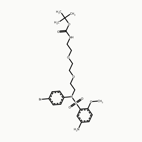 COc1ccc(N)cc1S(=O)(=O)N(CCOCCOCCNC(=O)OC(C)(C)C)c1ccc(Br)cc1